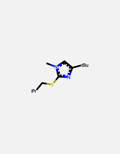 CC(C)CSc1nc(C(C)(C)C)cn1C